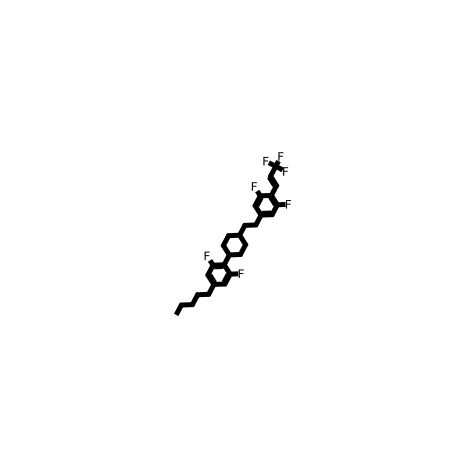 CCCCCc1cc(F)c(C2CCC(CCc3cc(F)c(/C=C/C(F)(F)F)c(F)c3)CC2)c(F)c1